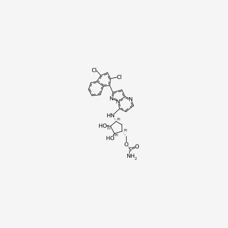 NS(=O)OC[C@H]1C[C@@H](Nc2ccnc3cc(-c4c(Cl)cc(Cl)c5ccccc45)nn23)[C@H](O)[C@@H]1O